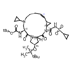 CC(C)(C)OC(=O)N[C@H]1CN(C2CC2)CCC/C=C\C2C[C@@]2(C(=O)NS(=O)(=O)C2CC2)NC(=O)[C@@H]2C[C@@H](O[Si](C)(C)C(C)(C)C)CN2C1=O